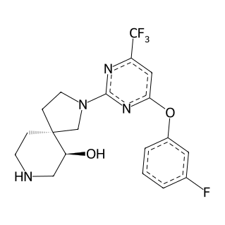 O[C@H]1CNCC[C@@]12CCN(c1nc(Oc3cccc(F)c3)cc(C(F)(F)F)n1)C2